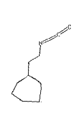 O=C=NCCC1C[CH]CCC1